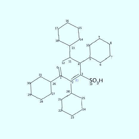 C=C(/C(=C(\C(C1CCCCC1)C(C)C1CCCCC1)S(=O)(=O)O)C1CCCCC1)C1CCCCC1